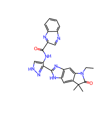 CCN1C(=O)C(C)(C)c2cc3[nH]c(-c4n[nH]cc4NC(=O)c4cnc5ccccc5n4)nc3cc21